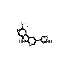 Nc1cc2c(cn1)[nH]c1ncc(-c3cn[nH]c3)cc12